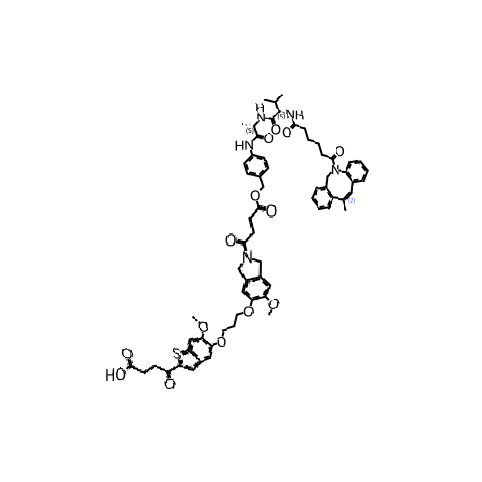 COc1cc2c(cc1OCCCOc1cc3cc(C(=O)CCC(=O)O)sc3cc1OC)CN(C(=O)CCC(=O)OCc1ccc(NC(=O)[C@H](C)NC(=O)[C@@H](NC(=O)CCCCC(=O)N3Cc4ccccc4/C(C)=C\c4ccccc43)C(C)C)cc1)C2